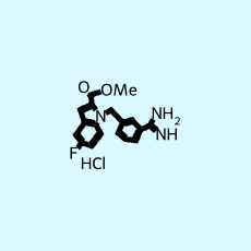 COC(=O)c1cc2cc(F)ccc2n1Cc1cccc(C(=N)N)c1.Cl